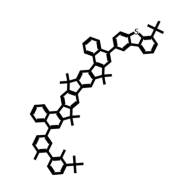 Cc1ccc(-c2cc3c(c4ccccc24)-c2cc4c(cc2C3(C)C)-c2cc3c(cc2C4(C)C)-c2c(cc(-c4ccc5sc6c(C(C)(C)C)cccc6c5c4)c4ccccc24)C3(C)C)cc1-c1cccc(C(C)(C)C)c1C